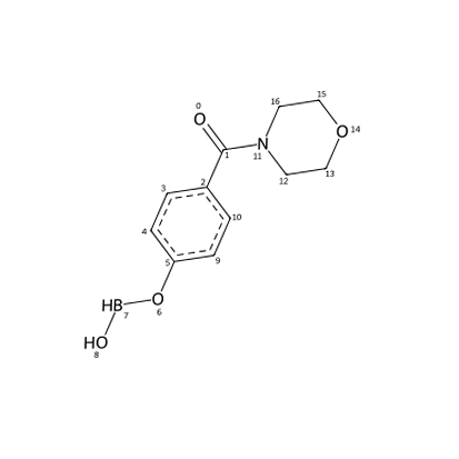 O=C(c1ccc(OBO)cc1)N1CCOCC1